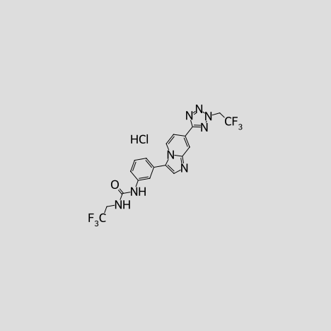 Cl.O=C(NCC(F)(F)F)Nc1cccc(-c2cnc3cc(-c4nnn(CC(F)(F)F)n4)ccn23)c1